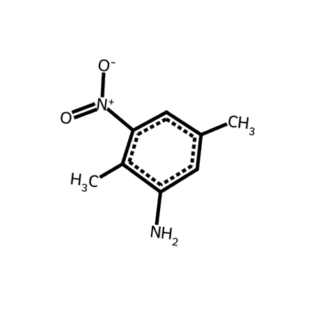 Cc1cc(N)c(C)c([N+](=O)[O-])c1